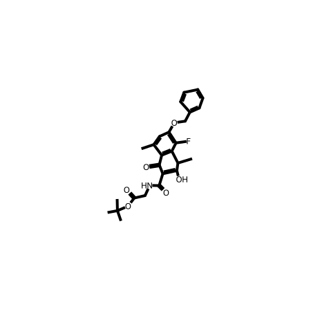 Cc1cc(OCc2ccccc2)c(F)c2c1C(=O)C(C(=O)NCC(=O)OC(C)(C)C)=C(O)C2C